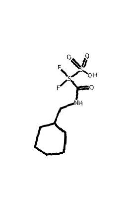 O=C(NCC1CCCCC1)S(F)(F)S(=O)(=O)O